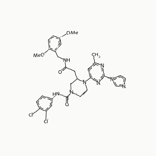 COc1ccc(OC)c(CNC(=O)CC2CN(C(=O)Nc3ccc(Cl)c(Cl)c3)CCN2c2cc(C)nc(-n3ccnc3)n2)c1